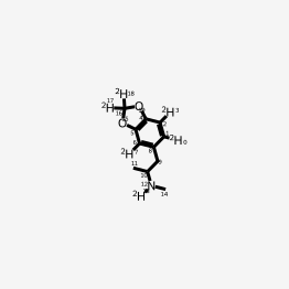 [2H]c1c([2H])c2c(c([2H])c1CC(C)N([2H])C)OC([2H])([2H])O2